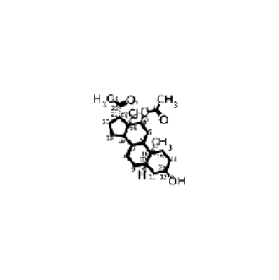 CC(=O)O[C@H]1CC2C(CC[C@@H]3C[C@H](O)CC[C@]23C)C2CC[C@H](C(C)=O)[C@]21C